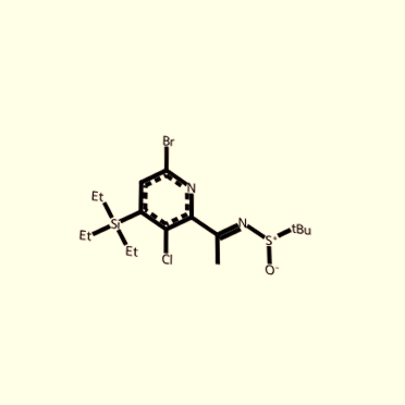 CC[Si](CC)(CC)c1cc(Br)nc(C(C)=N[S+]([O-])C(C)(C)C)c1Cl